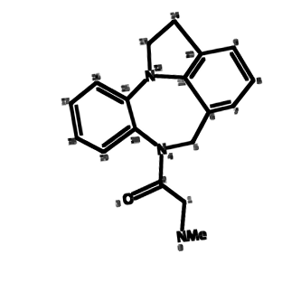 CNCC(=O)N1Cc2cccc3c2N(CC3)c2ccccc21